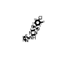 Cc1cc(S(=O)(=O)c2cnc(Nc3nncs3)cn2)ccc1Cl